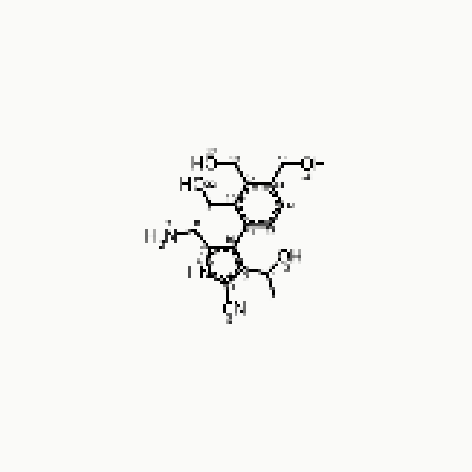 CC(O)c1c(C#N)[nH]c(CN)c1-c1ccc(CO)c(CO)c1CO